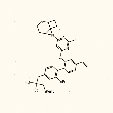 C=Cc1ccc(-c2ccc(CC(N)(CC)CC(C)CCC)cc2CCC)c(Oc2cc(N3C4CCCC5CCC543)nc(C)n2)c1